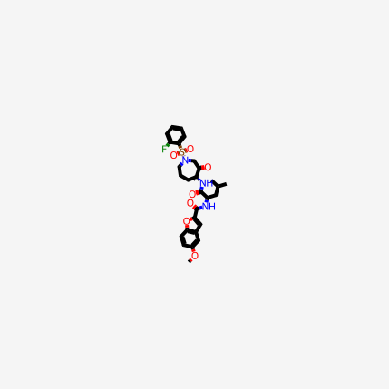 COc1ccc2oc(C(=O)NC(CC(C)C)C(=O)N[C@H]3CCCN(S(=O)(=O)c4ccccc4F)CC3=O)cc2c1